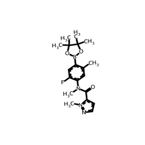 Cc1cc(N(C)C(=O)c2ccnn2C)c(F)cc1B1OC(C)(C)C(C)(C)O1